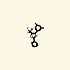 Cc1cc(C)cc(-c2nc(-c3ccccc3)oc2C(F)(F)F)c1